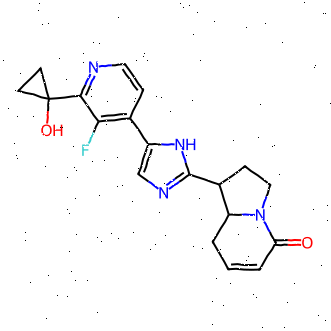 O=C1C=CCC2C(c3ncc(-c4ccnc(C5(O)CC5)c4F)[nH]3)CCN12